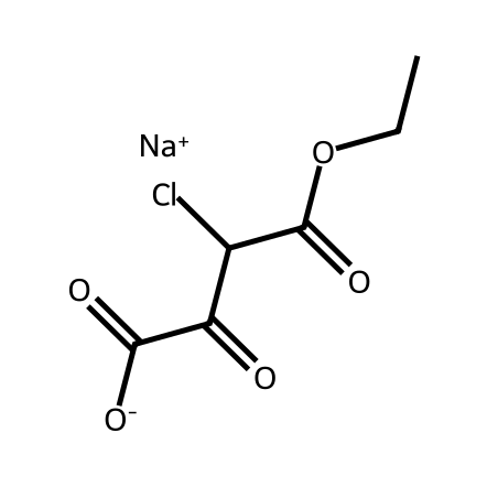 CCOC(=O)C(Cl)C(=O)C(=O)[O-].[Na+]